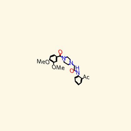 COc1ccc(C(=O)N2CCN(CC(=O)Nc3ccccc3C(C)=O)CC2)cc1OC